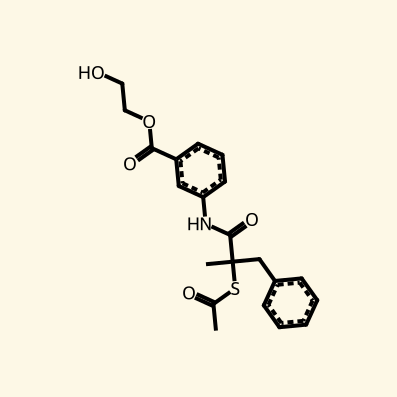 CC(=O)SC(C)(Cc1ccccc1)C(=O)Nc1cccc(C(=O)OCCO)c1